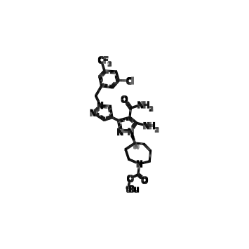 CC(C)(C)OC(=O)N1CCC[C@H](n2nc(-c3cnn(Cc4cc(Cl)cc(C(F)(F)F)c4)c3)c(C(N)=O)c2N)CC1